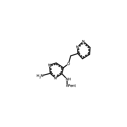 CCCCCNc1nc(N)ncc1OCc1cccnn1